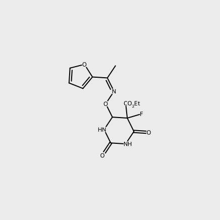 CCOC(=O)C1(F)C(=O)NC(=O)NC1ON=C(C)c1ccco1